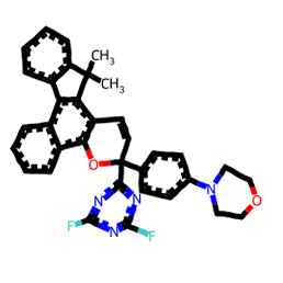 CC1(C)c2ccccc2-c2c1c1c(c3ccccc23)OC(c2ccc(N3CCOCC3)cc2)(c2nc(F)nc(F)n2)C=C1